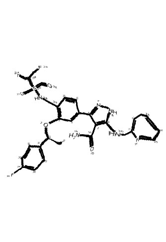 C[C@H](Oc1cc(-c2n[nH]c(Nc3ccccn3)c2C(N)=O)ccc1NS(=O)(=O)C(F)F)c1ccc(F)cc1